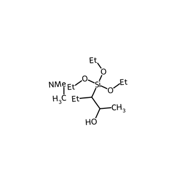 CCO[Si](OCC)(OCC)C(CC)C(C)O.CNC